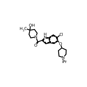 CC(C)N1CCC(Oc2cc3cc(C(=O)N4CCC(C)(O)CC4)[nH]c3cc2Cl)CC1